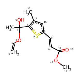 C=COC(C)(O)c1sc(C=CC(=O)OC)cc1C